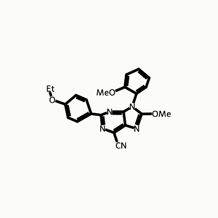 CCOc1ccc(-c2nc(C#N)c3nc(OC)n(-c4ccccc4OC)c3n2)cc1